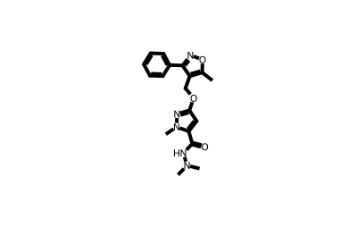 Cc1onc(-c2ccccc2)c1COc1cc(C(=O)NN(C)C)n(C)n1